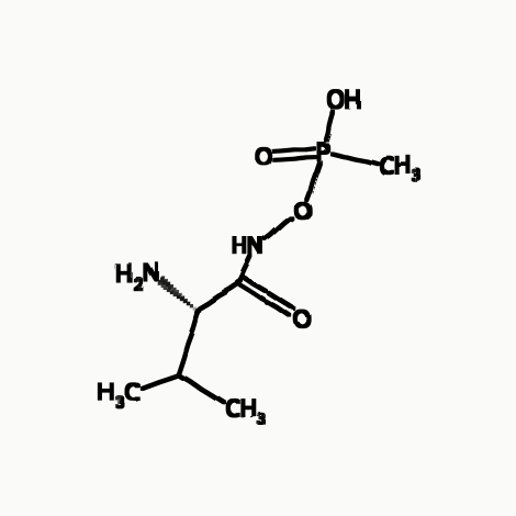 CC(C)[C@H](N)C(=O)NOP(C)(=O)O